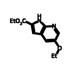 CCOC(=O)c1cc2cc(OCC)cnc2[nH]1